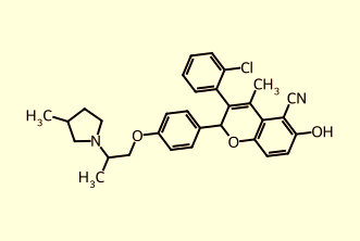 CC1=C(c2ccccc2Cl)C(c2ccc(OCC(C)N3CCC(C)C3)cc2)Oc2ccc(O)c(C#N)c21